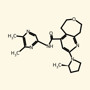 Cc1ncc(NC(=O)c2cc(N3CCC[C@H]3C)nc3c2CCOCC3)nc1C